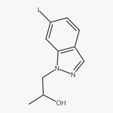 CC(O)Cn1ncc2ccc(I)cc21